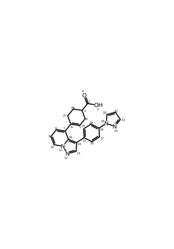 O=C(O)C1CC=C(c2cccn3ncc(-c4ccc(-n5cccn5)cc4)c23)CC1